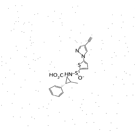 C#Cc1cnn(-c2ccc([S+]([O-])N[C@@]3(C(=O)O)C(C)[C@@H]3c3ccccc3)s2)c1